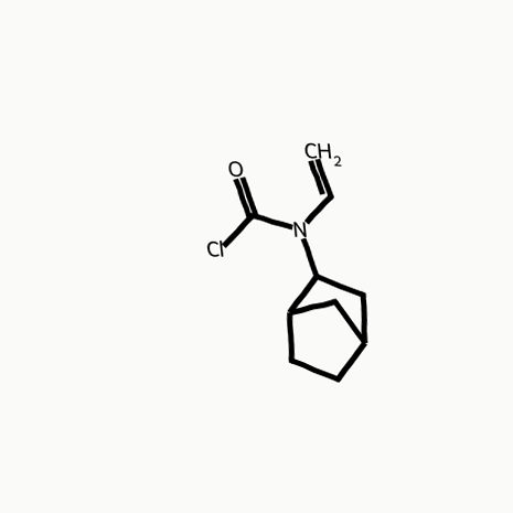 C=CN(C(=O)Cl)C1CC2CCC1C2